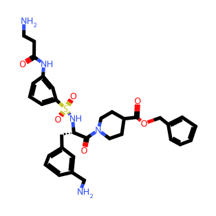 NCCC(=O)Nc1cccc(S(=O)(=O)N[C@@H](Cc2cccc(CN)c2)C(=O)N2CCC(C(=O)OCc3ccccc3)CC2)c1